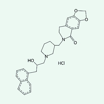 Cl.O=C1c2cc3c(cc2CCN1CC1CCCN(CC(O)Cc2cccc4ccccc24)C1)OCO3